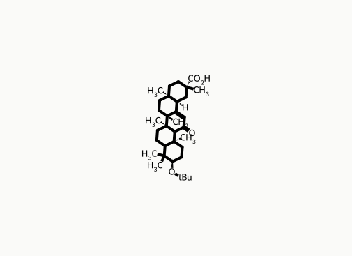 CC(C)(C)O[C@@H]1CC[C@@]2(C)C(CC[C@]3(C)C2C(=O)C=C2[C@@H]4C[C@@](C)(C(=O)O)CC[C@]4(C)CC[C@]23C)C1(C)C